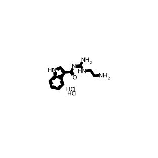 Cl.Cl.NCCNC(N)=NC(=O)c1c[nH]c2ccccc12